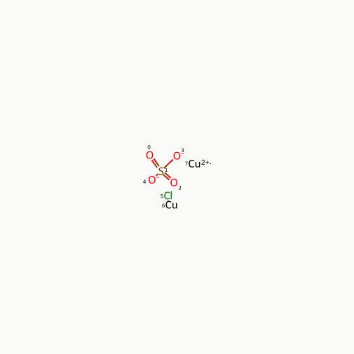 O=S(=O)([O-])[O-].[Cl][Cu].[Cu+2]